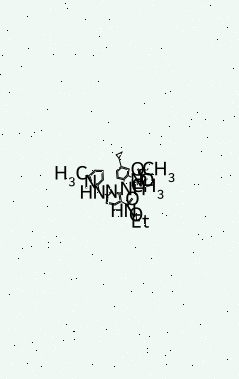 CCONC(=O)c1ccc(Nc2cccc(C)n2)nc1Nc1ccc(C2CC2)cc1N(C)S(C)(=O)=O